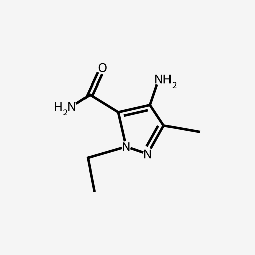 CCn1nc(C)c(N)c1C(N)=O